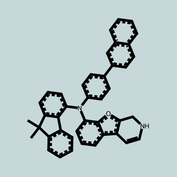 CC1(C)c2ccccc2-c2c(N(c3ccc(-c4ccc5ccccc5c4)cc3)c3cccc4c5c(oc34)CNC=C5)cccc21